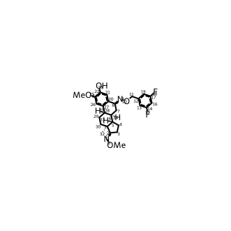 CON=C1CC[C@H]2[C@@H]3CC(=NOCc4cc(F)cc(F)c4)c4cc(O)c(OC)cc4[C@H]3CC[C@]12C